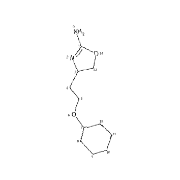 NC1=NC(CCOC2CCCCC2)CO1